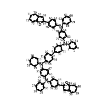 c1ccc(N(c2ccc(-c3ccc(N(c4ccccc4)c4ccc(N(c5ccccc5)c5ccc(-c6cc7ccccc7s6)cc5)cc4)cc3)cc2)c2ccc(N(c3ccccc3)c3ccc(-c4cc5ccccc5s4)cc3)cc2)cc1